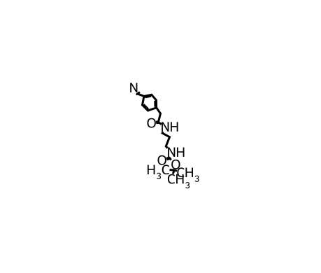 CC(C)(C)OC(=O)NCCCNC(=O)Cc1ccc(C#N)cc1